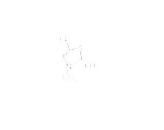 CC1SC(Cl)=CN1C